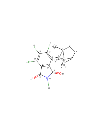 CC1(C)C2CCC1(C)C(c1c(F)c(F)c(F)c3c1C(=O)N(F)C3=O)C2